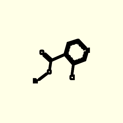 O=C(OBr)c1ccncc1Cl